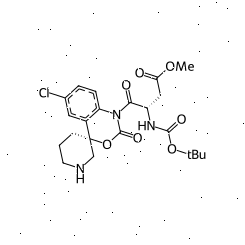 COC(=O)C[C@H](NC(=O)OC(C)(C)C)C(=O)N1C(=O)O[C@]2(CCCNC2)c2cc(Cl)ccc21